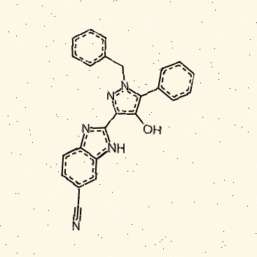 N#Cc1ccc2nc(-c3nn(Cc4ccccc4)c(-c4ccccc4)c3O)[nH]c2c1